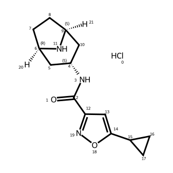 Cl.O=C(N[C@@H]1C[C@H]2CC[C@@H](C1)N2)c1cc(C2CC2)on1